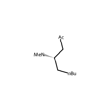 CCCCC[C@@H](CC(C)=O)NC